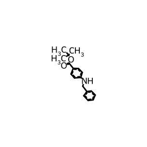 CC(C)(C)OC(=O)c1ccc(NCc2ccccc2)cc1